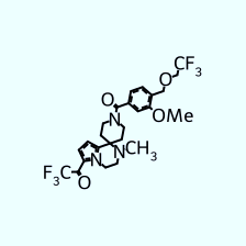 COc1cc(C(=O)N2CCC3(CC2)c2ccc(C(=O)C(F)(F)F)n2CCN3C)ccc1COCC(F)(F)F